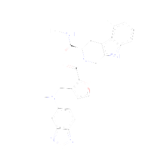 CNC(=O)[C@H]1Cc2c([nH]c3cccc(F)c23)CN1C(=O)c1occc1CN(C)c1ccc2nsnc2c1